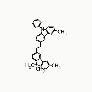 Cc1ccc2c(c1)-c1cc(CCc3ccc4c(c3)c3cc(C)ccc3n4-c3ccccc3)ccc1C2(C)C